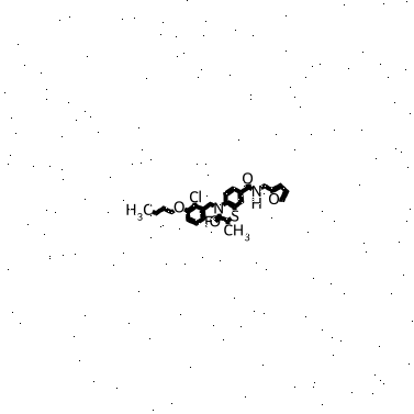 CCCCOc1ccc(F)c(CN2C(=O)C(C)Sc3cc(C(=O)NCc4ccco4)ccc32)c1Cl